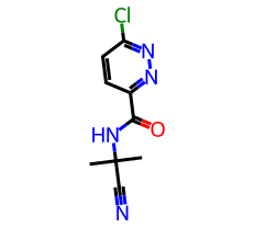 CC(C)(C#N)NC(=O)c1ccc(Cl)nn1